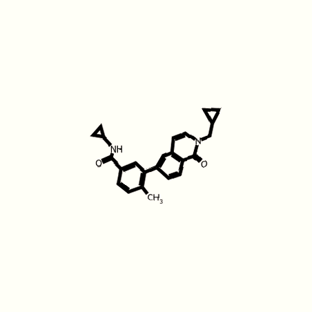 Cc1ccc(C(=O)NC2CC2)cc1-c1ccc2c(=O)n(CC3CC3)ccc2c1